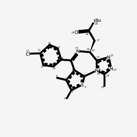 Cc1sc2c(c1C)C(c1ccc(Cl)cc1)=N[C@@H](CC(=O)C(C)(C)C)c1nnc(C)n1-2